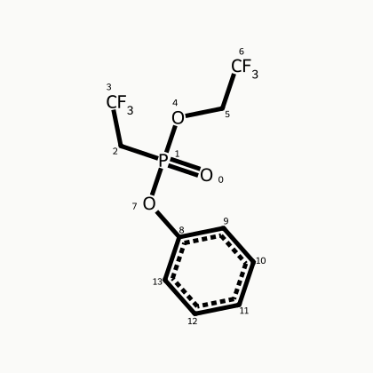 O=P(CC(F)(F)F)(OCC(F)(F)F)Oc1ccccc1